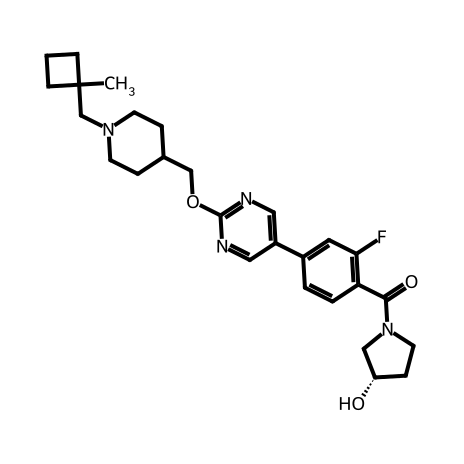 CC1(CN2CCC(COc3ncc(-c4ccc(C(=O)N5CC[C@H](O)C5)c(F)c4)cn3)CC2)CCC1